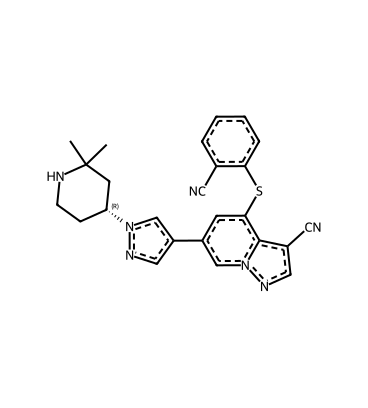 CC1(C)C[C@H](n2cc(-c3cc(Sc4ccccc4C#N)c4c(C#N)cnn4c3)cn2)CCN1